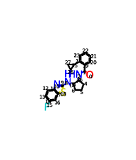 O=C(N[C@H]1CCC[C@@H]1Nc1nc2ccc(F)cc2s1)c1ccccc1C1CC1